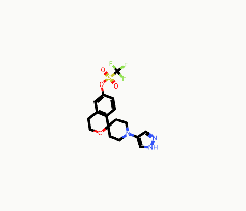 O=S(=O)(Oc1ccc2c(c1)CCOC21CCN(c2cn[nH]c2)CC1)C(F)(F)F